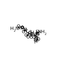 NC(=O)C[n+]1cccc(N2CCC(=CC3=C(C(=O)[O-])N4C(=O)[C@@H](NC(=O)/C(=N\OC(=O)C(F)(F)F)c5csc(N)n5)[C@H]4SC3)C2=O)c1